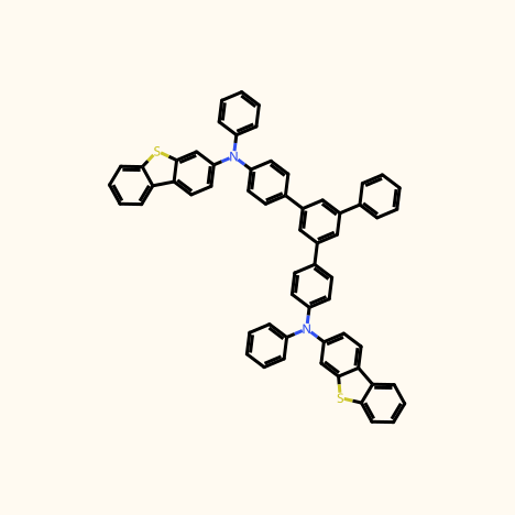 c1ccc(-c2cc(-c3ccc(N(c4ccccc4)c4ccc5c(c4)sc4ccccc45)cc3)cc(-c3ccc(N(c4ccccc4)c4ccc5c(c4)sc4ccccc45)cc3)c2)cc1